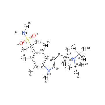 [2H]c1c(C([2H])([2H])S(=O)(=O)N([2H])C)c([2H])c2c(CC([2H])([2H])N(C([2H])([2H])[2H])C([2H])([2H])[2H])cn([2H])c2c1[2H]